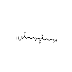 NC(F)CCCCSCNC(F)CCCCS